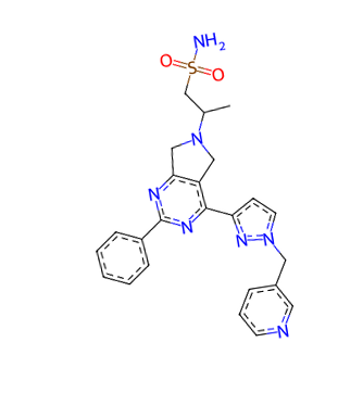 CC(CS(N)(=O)=O)N1Cc2nc(-c3ccccc3)nc(-c3ccn(Cc4cccnc4)n3)c2C1